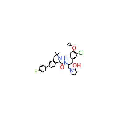 CC1(C)Cc2cc(-c3ccc(F)cc3)ccc2C(C(=O)NC(CN2CCCC2)C(O)c2ccc(OC3CC3)c(Cl)c2)=N1